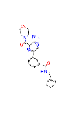 Nc1ncc(-c2cccc(C(=O)NCc3ccccc3)c2)nc1C(=O)N1CCOCC1